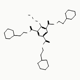 O=C(OCCC1CCCCC1)c1cc(C(=O)OCCC2CCCCC2)c(SOOO)c(C(=O)OCCC2CCCCC2)c1